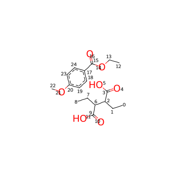 CCC(C(=O)O)C(CC)C(=O)O.CCOC(=O)c1ccc(OC)cc1